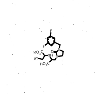 CC(C)CC(NC(CN1CCN(Cc2cc(F)cc(F)c2)C1=O)C(=O)O)C(=O)O